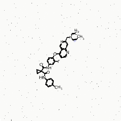 C=CN(/C=C\C)Cc1cc2nccc(Oc3ccc(NC(=O)C4(C(=O)Nc5ccc(C)cc5)CC4)cc3F)c2cn1